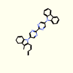 C=C/C=C\c1c(C)c2c(n1-c1cnc(-c3ncc(-n4c5ccccc5c5ccccc54)cn3)nc1)C=CCC2